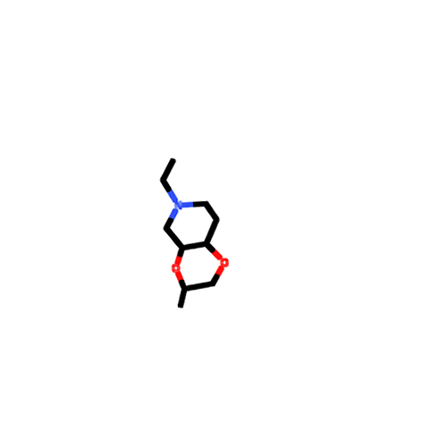 CCN1CCC2OCC(C)OC2C1